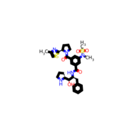 Cc1csc([C@H]2CCCN2C(=O)c2cc(C(=O)N[C@@H](Cc3ccccc3)[C@H](O)[C@H]3CCCN3)cc(N(C)S(C)(=O)=O)c2)n1